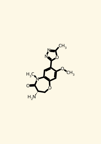 COc1cc2c(cc1-c1nnc(C)o1)N(C)C(=O)[C@@H](N)CO2